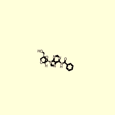 O=C(Nc1ncnc2c1ncn2[C@@H]1O[C@@]2(CO)CO[C@@H]1C2)c1ccccc1